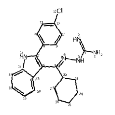 N=C(N)NN=C(c1c(-c2ccc(Cl)cc2)[nH]c2ccccc12)C1CCCCC1